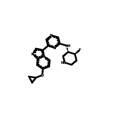 F[C@H]1CCNC[C@@H]1Nc1cncc(-c2cnc3cc(OC4CC4)ccn23)n1